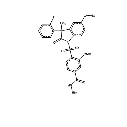 CCOc1ccc2c(c1)C(C)(c1ccccc1F)C(=O)N2S(=O)(=O)c1ccc(C(=O)NC(C)(C)C)cc1OC